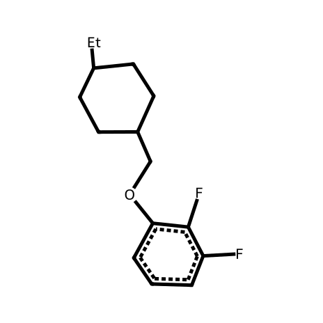 CCC1CCC(COc2cccc(F)c2F)CC1